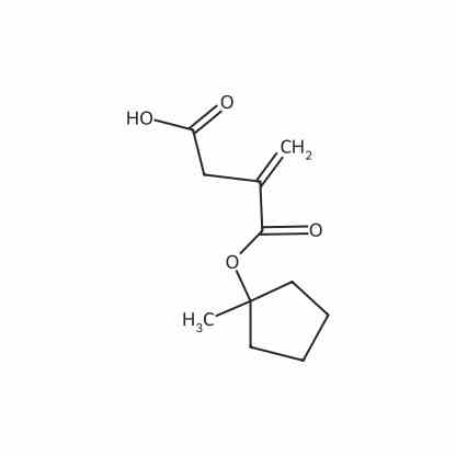 C=C(CC(=O)O)C(=O)OC1(C)CCCC1